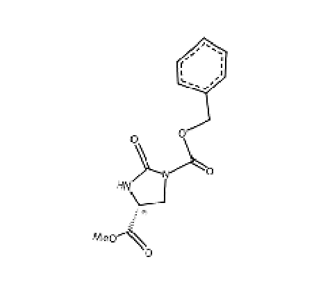 COC(=O)[C@H]1CN(C(=O)OCc2ccccc2)C(=O)N1